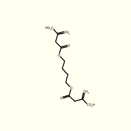 C=C(CC(=O)OCCCCOC(=O)CC(=C)C(=O)O)C(=O)O